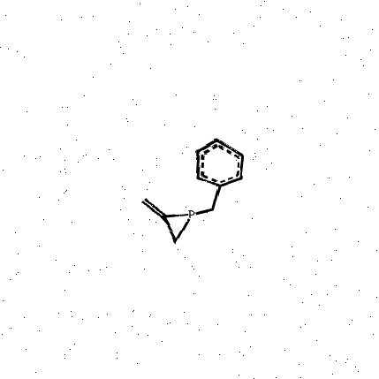 C=C1CP1Cc1ccccc1